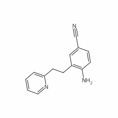 N#Cc1ccc(N)c(CCc2ccccn2)c1